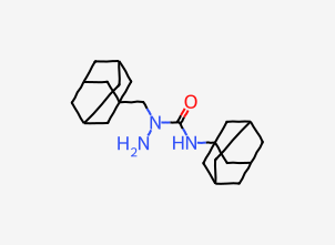 NN(CC12CC3CC(CC(C3)C1)C2)C(=O)NC12CC3CC(CC(C3)C1)C2